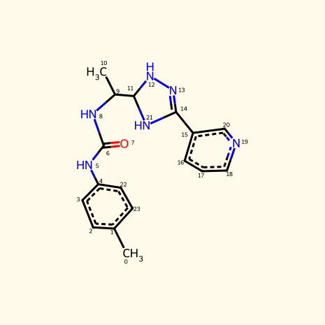 Cc1ccc(NC(=O)NC(C)C2NN=C(c3cccnc3)N2)cc1